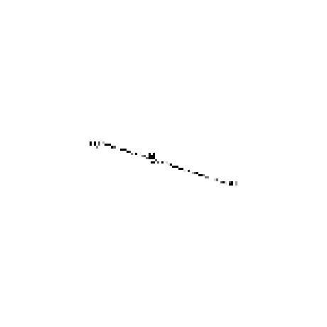 CCCCCCC=CCCCCCCCCCCCC(=O)OCCCCCCCCCCCCCCCCCCCCCCCCCCCCO